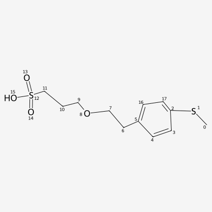 CSc1ccc(CCOCCCS(=O)(=O)O)cc1